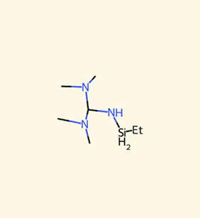 CC[SiH2]NC(N(C)C)N(C)C